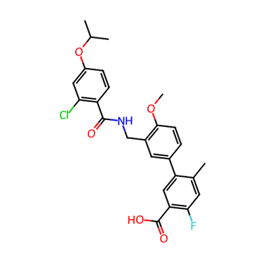 COc1ccc(-c2cc(C(=O)O)c(F)cc2C)cc1CNC(=O)c1ccc(OC(C)C)cc1Cl